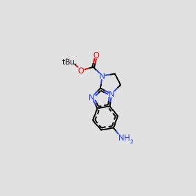 CC(C)(C)OC(=O)N1CCn2c1nc1ccc(N)cc12